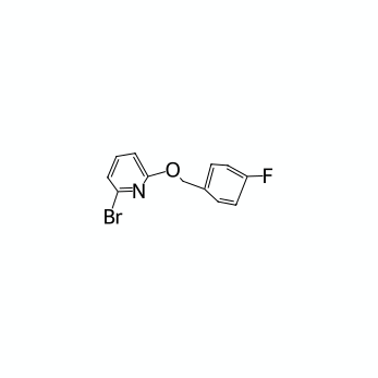 Fc1ccc(COc2cccc(Br)n2)cc1